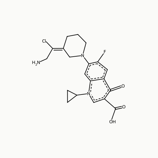 NC/C(Cl)=C1/CCCN(c2cc3c(cc2F)c(=O)c(C(=O)O)cn3C2CC2)C1